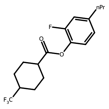 CCCc1ccc(OC(=O)C2CCC(C(F)(F)F)CC2)c(F)c1